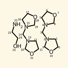 C1CN(CN2CCOC2)CO1.C1CN(CN2CCOC2)CO1.NCCO